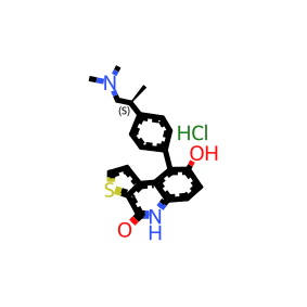 C[C@H](CN(C)C)c1ccc(-c2c(O)ccc3[nH]c(=O)c4sccc4c23)cc1.Cl